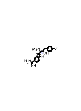 CN/C(=C(/O)Cc1ccc(Br)cc1)c1nc2cc(C(=N)N)ccc2[nH]1